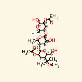 COC(C)(C)C1CC(OC(C)=O)C(OC2CC(O)C(OC3CC(OC(C)=O)C(O)OC3C)OC2C)OC1CO